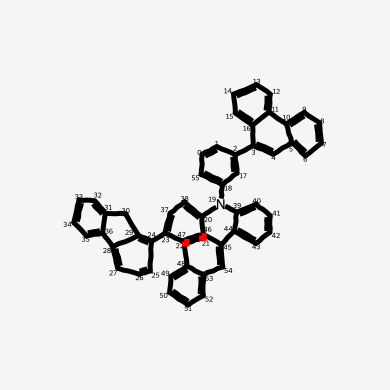 c1cc(-c2cc3ccccc3c3ccccc23)cc(N(c2ccc(-c3cccc4c3Cc3ccccc3-4)cc2)c2ccccc2-c2ccc3ccccc3c2)c1